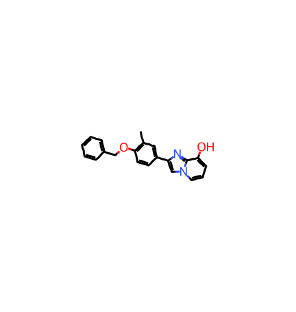 Cc1cc(-c2cn3cccc(O)c3n2)ccc1OCc1ccccc1